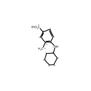 CCOC(=O)c1ccc(NC2CCCCC2)c(C)c1